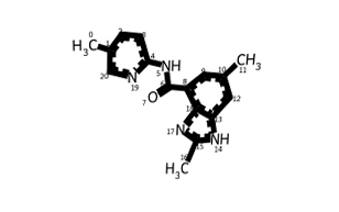 Cc1ccc(NC(=O)c2cc(C)cc3[nH]c(C)nc23)nc1